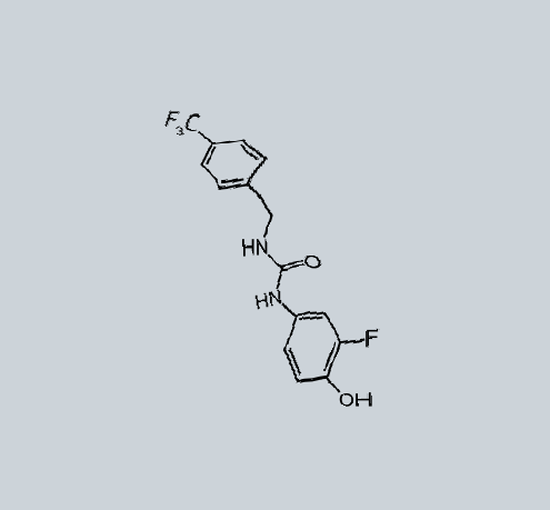 O=C(NCc1ccc(C(F)(F)F)cc1)Nc1ccc(O)c(F)c1